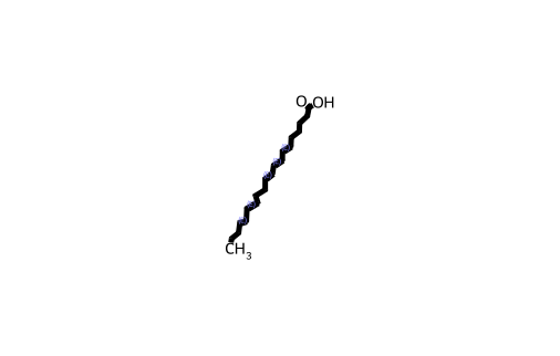 CCC/C=C/C=C/CC/C=C/C=C/C=C/CCCCC(=O)O